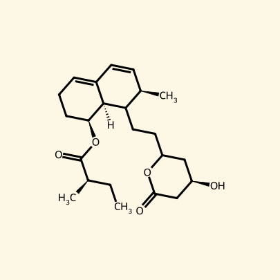 CC[C@@H](C)C(=O)O[C@H]1CCC=C2C=C[C@@H](C)C(CCC3C[C@@H](O)CC(=O)O3)[C@H]21